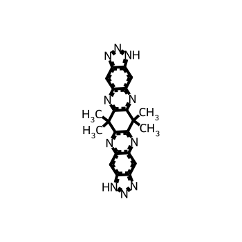 CC1(C)c2nc3cc4nn[nH]c4cc3nc2C(C)(C)c2nc3cc4nn[nH]c4cc3nc21